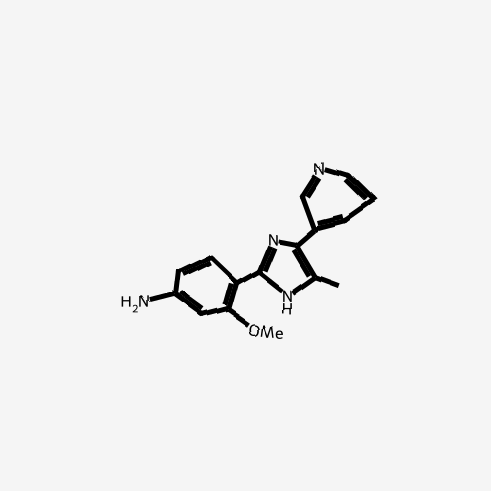 COc1cc(N)ccc1-c1nc(-c2cccnc2)c(C)[nH]1